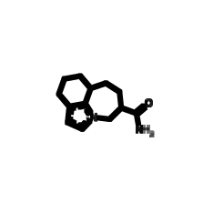 NC(=O)C1CCC2CCCc3ccn(c32)C1